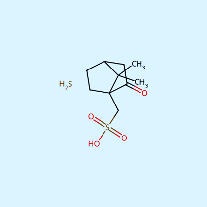 CC1(C)C2CCC1(CS(=O)(=O)O)C(=O)C2.S